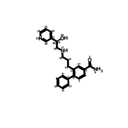 NC(=O)c1ccc(-c2ccccc2)c(CCCNC[C@H](O)c2cccnc2)c1